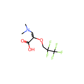 CN(C)/C=C(/OCC(F)(F)C(F)(F)F)C(=O)O